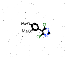 COc1ccc(-c2c(Cl)ncnc2Cl)cc1OC